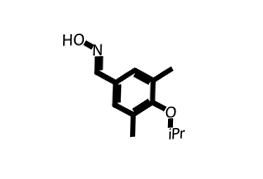 Cc1cc(/C=N/O)cc(C)c1OC(C)C